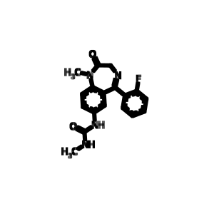 CNC(=O)Nc1ccc2c(c1)C(c1ccccc1F)=NCC(=O)N2C